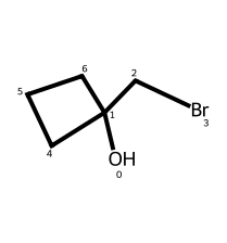 OC1(CBr)CCC1